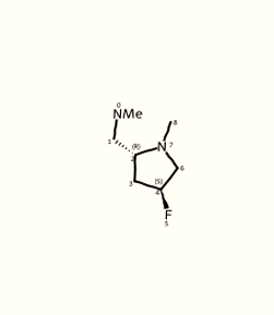 CNC[C@H]1C[C@H](F)CN1C